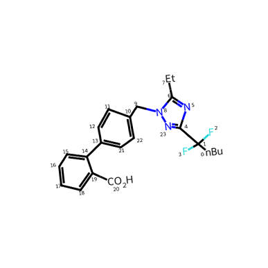 CCCCC(F)(F)c1nc(CC)n(Cc2ccc(-c3ccccc3C(=O)O)cc2)n1